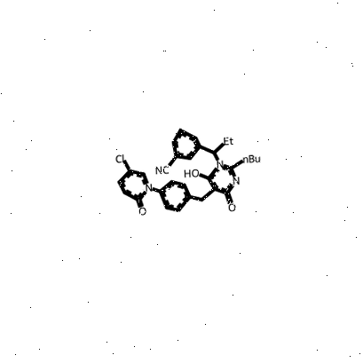 CCCCc1nc(=O)c(Cc2ccc(-n3cc(Cl)ccc3=O)cc2)c(O)n1C(CC)c1cccc(C#N)c1